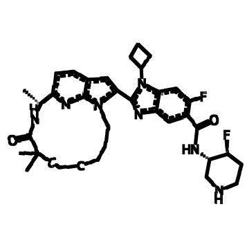 C[C@H]1NC(=O)C(C)(C)CCCCCCn2c(-c3nc4cc(C(=O)N[C@H]5CNCC[C@@H]5F)c(F)cc4n3C3CCC3)cc3ccc1nc32